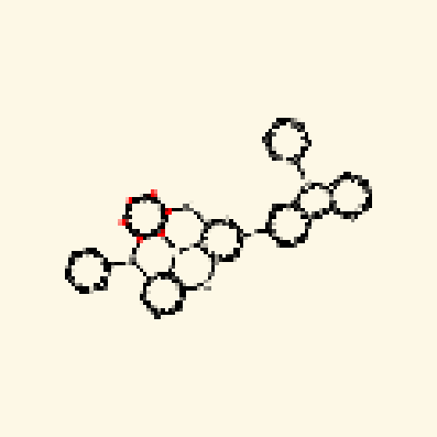 c1ccc(N2c3cccc4c3[Si]3(c5ccccc5)c5c(cc(-c6ccc7c8ccccc8n(-c8ccccc8)c7c6)cc5Oc5cccc2c53)O4)cc1